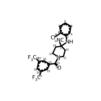 N#CC1(Nc2ccccc2Cl)CCN(C(=O)c2cc(C(F)(F)F)cc(C(F)(F)F)c2)CC1